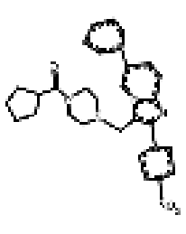 O=C(C1CCCC1)N1CCN(Cc2c(-c3ccc([N+](=O)[O-])cc3)nc3ccc(-c4ccccc4)cn23)CC1